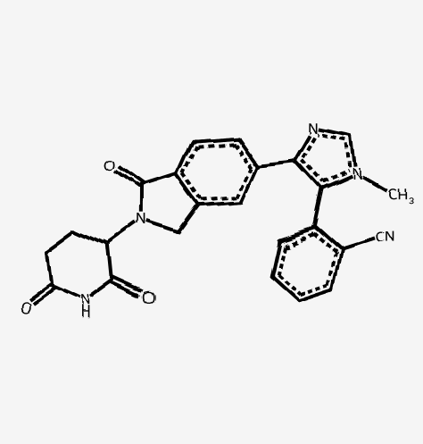 Cn1cnc(-c2ccc3c(c2)CN(C2CCC(=O)NC2=O)C3=O)c1-c1ccccc1C#N